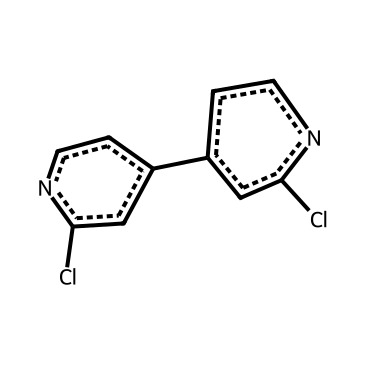 Clc1cc(-c2ccnc(Cl)c2)ccn1